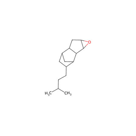 CC(C)CCC1CC2CC1C1C2CC2OC21